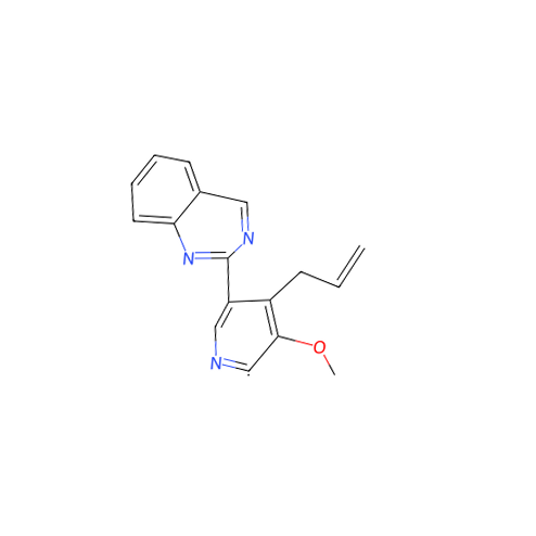 C=CCc1c(OC)[c]ncc1-c1ncc2ccccc2n1